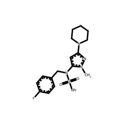 CCCS(=O)(=O)N(Cc1ccc(F)cc1)c1cc(N2CCCCC2)nn1C